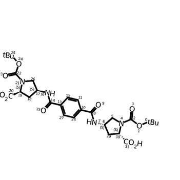 CC(C)(C)OC(=O)N1C[C@@H](NC(=O)c2ccc(C(=O)N[C@H]3C[C@@H](C(=O)O)N(C(=O)OC(C)(C)C)C3)cc2)C[C@H]1C(=O)O